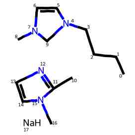 CCCCN1C=CN(C)C1.Cc1nccn1C.[NaH]